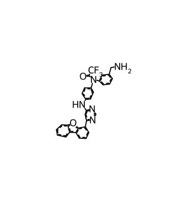 NCc1cccc(N(C(=O)C(F)(F)F)c2ccc(Nc3cc(-c4cccc5c4oc4ccccc45)ncn3)cc2)c1